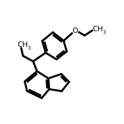 CCOc1ccc(C(CC)c2cccc3c2C=CC3)cc1